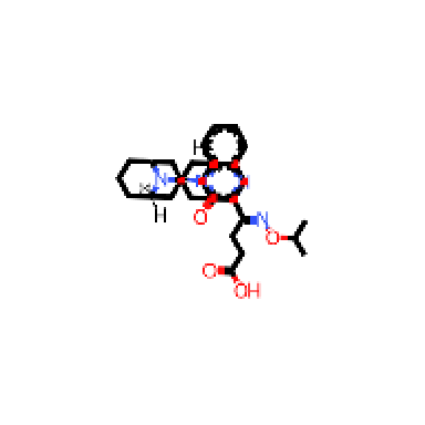 CC(C)ON=C(CCC(=O)O)c1nc2ccccc2n([C@@H]2CC3CCC[C@H](C2)N3C2CC3CCC[C@@H](C3)C2)c1=O